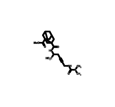 COC(=O)C12CC3CC(CC(C(=O)NC(CC#CCNC(=O)N(C)C)C(=O)O)(C3)C1)C2